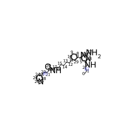 C/C=C/Nc1cc(-c2cccc(CCCCCCNC(=O)/C=C/c3cccnc3)c2)nc(N)n1